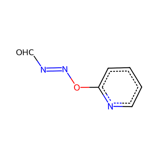 O=CN=NOc1ccccn1